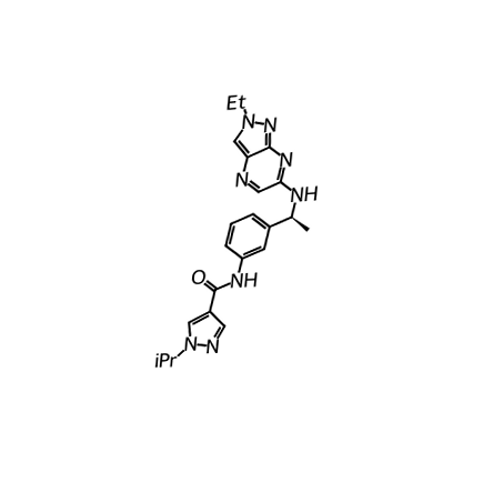 CCn1cc2ncc(N[C@@H](C)c3cccc(NC(=O)c4cnn(C(C)C)c4)c3)nc2n1